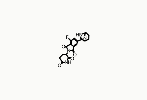 O=C1CCC(N2C(=O)c3cc(N4CC5CCC4CN5)cc(F)c3C2=O)C(=O)N1